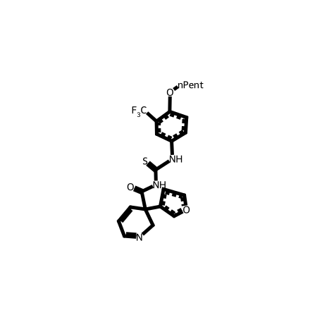 CCCCCOc1ccc(NC(=S)NC(=O)C2(c3ccoc3)C=CC=NC2)cc1C(F)(F)F